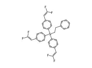 FC(F)=Cc1ccc([Si](CCc2ccccc2)(c2ccc(C=C(F)F)cc2)c2ccc(C=C(F)F)cc2)cc1